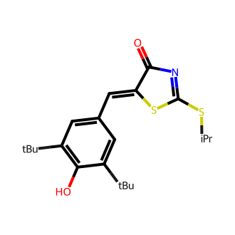 CC(C)SC1=NC(=O)C(=Cc2cc(C(C)(C)C)c(O)c(C(C)(C)C)c2)S1